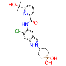 CC(C)(O)c1cccc(C(=O)Nc2cc3cn(C4CCS(O)(O)CC4)nc3cc2Cl)n1